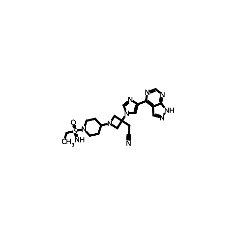 CCS(=N)(=O)N1CCC(N2CC(CC#N)(n3cnc(-c4ncnc5[nH]ncc45)c3)C2)CC1